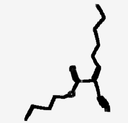 CCCCCC=C(C#N)C(=O)OCCCC